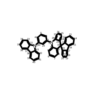 c1cc(N2c3ccccc3C3(c4ccccc4-c4ccccc43)c3ccccc32)cc(-n2c3ccccc3c3ccccc32)c1